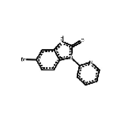 O=c1[nH]c2cc(Br)ccc2n1-c1ccccn1